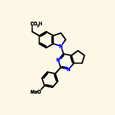 COc1ccc(-c2nc3c(c(N4CCc5cc(CC(=O)O)ccc54)n2)CCC3)cc1